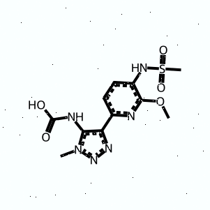 COc1nc(-c2nnn(C)c2NC(=O)O)ccc1NS(C)(=O)=O